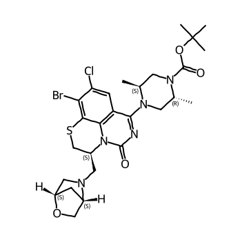 C[C@@H]1CN(c2nc(=O)n3c4c(c(Br)c(Cl)cc24)SC[C@@H]3CN2C[C@@H]3C[C@H]2CO3)[C@@H](C)CN1C(=O)OC(C)(C)C